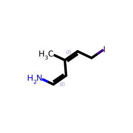 CC(/C=C\N)=C/CI